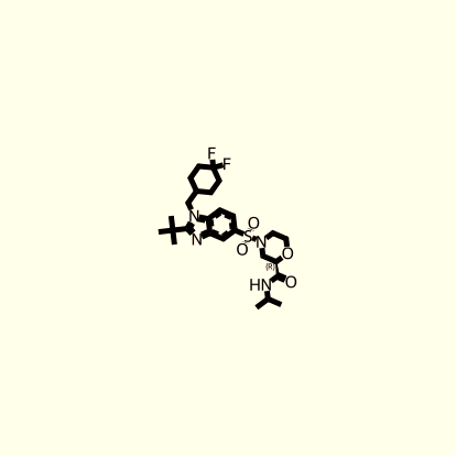 CC(C)NC(=O)[C@H]1CN(S(=O)(=O)c2ccc3c(c2)nc(C(C)(C)C)n3CC2CCC(F)(F)CC2)CCO1